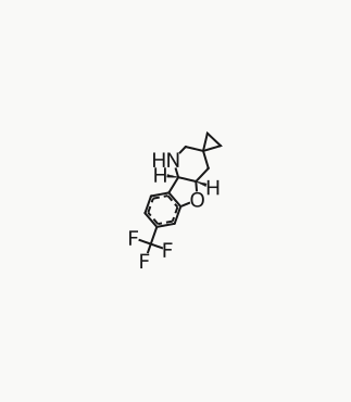 FC(F)(F)c1ccc2c(c1)O[C@H]1CC3(CC3)CN[C@@H]21